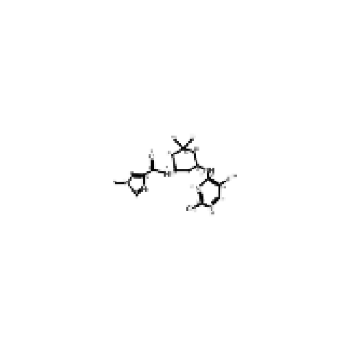 Cn1cnc(C(=O)NC2CC(Nc3nc(Cl)ncc3F)CC(C)(C)C2)c1